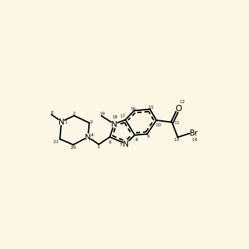 CN1CCN(Cc2nc3cc(C(=O)CBr)ccc3n2C)CC1